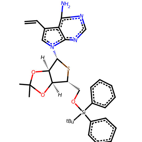 C=Cc1cn([C@@H]2S[C@H](CO[Si](c3ccccc3)(c3ccccc3)C(C)(C)C)[C@H]3OC(C)(C)O[C@H]32)c2ncnc(N)c12